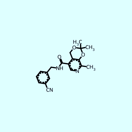 Cc1ncc(C(=O)NCc2cccc(C#N)c2)c2c1OC(C)(C)OC2